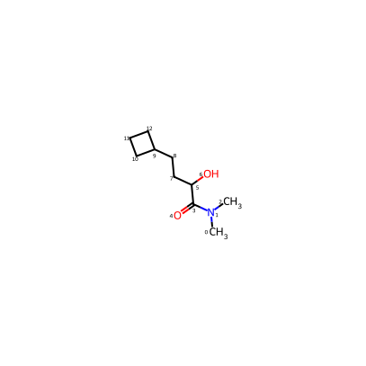 CN(C)C(=O)C(O)CCC1CCC1